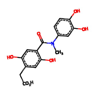 CN(C(=O)c1cc(O)c(CC(=O)O)cc1O)c1ccc(O)c(O)c1